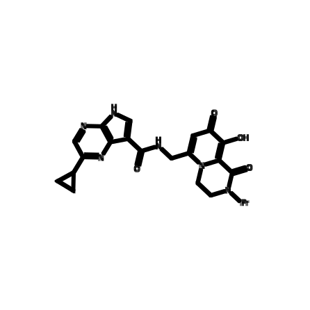 CC(C)N1CCn2c(CNC(=O)c3c[nH]c4ncc(C5CC5)nc34)cc(=O)c(O)c2C1=O